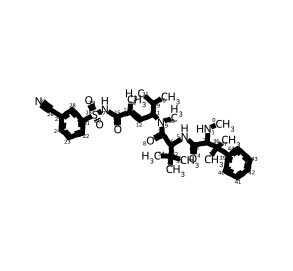 CNC(C(=O)NC(C(=O)N(C)C(/C=C(\C)C(=O)NS(=O)(=O)c1cccc(C#N)c1)C(C)C)C(C)(C)C)C(C)(C)c1ccccc1